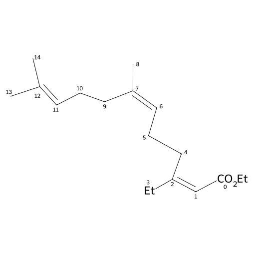 CCOC(=O)C=C(CC)CCC=C(C)CCC=C(C)C